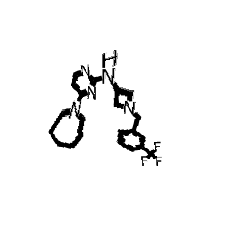 FC(F)(F)c1cccc(CN2CC(Nc3nccc(N4CCCCCC4)n3)C2)c1